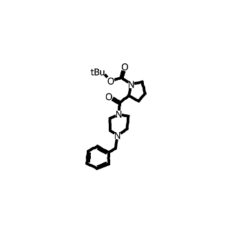 CC(C)(C)OC(=O)N1CCCC1C(=O)N1CCN(Cc2ccccc2)CC1